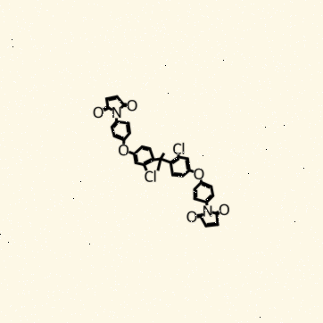 CC(C)(c1ccc(Oc2ccc(N3C(=O)C=CC3=O)cc2)cc1Cl)c1ccc(Oc2ccc(N3C(=O)C=CC3=O)cc2)cc1Cl